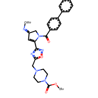 CON=C1C=C(c2noc(CN3CCN(C(=O)OC(C)(C)C)CC3)n2)N(C(=O)c2ccc(-c3ccccc3)cc2)C1